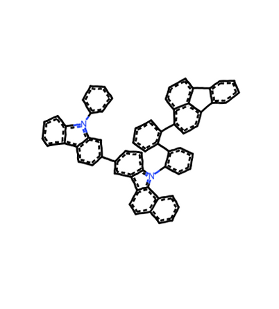 c1ccc(-n2c3ccccc3c3ccc(-c4ccc5c(c4)c4ccc6ccccc6c4n5-c4ccccc4-c4ccccc4-c4ccc5c6c(cccc46)-c4ccccc4-5)cc32)cc1